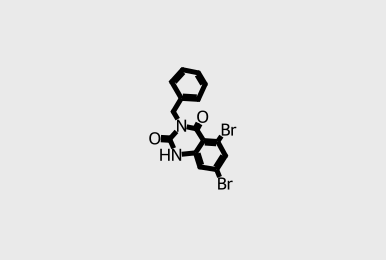 O=c1[nH]c2cc(Br)cc(Br)c2c(=O)n1Cc1ccccc1